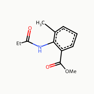 CCC(=O)Nc1c(C)cccc1C(=O)OC